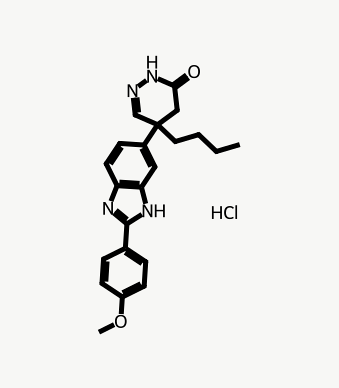 CCCCC1(c2ccc3nc(-c4ccc(OC)cc4)[nH]c3c2)C=NNC(=O)C1.Cl